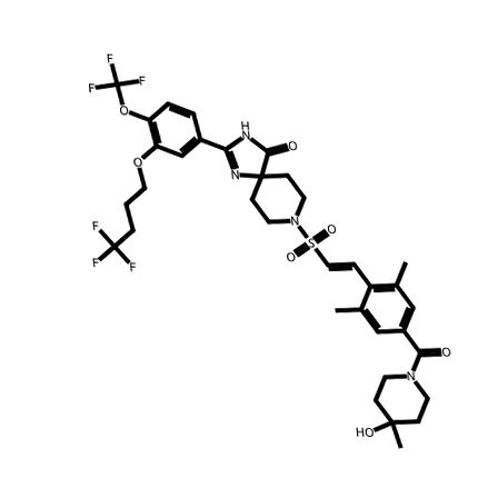 Cc1cc(C(=O)N2CCC(C)(O)CC2)cc(C)c1C=CS(=O)(=O)N1CCC2(CC1)N=C(c1ccc(OC(F)(F)F)c(OCCCC(F)(F)F)c1)NC2=O